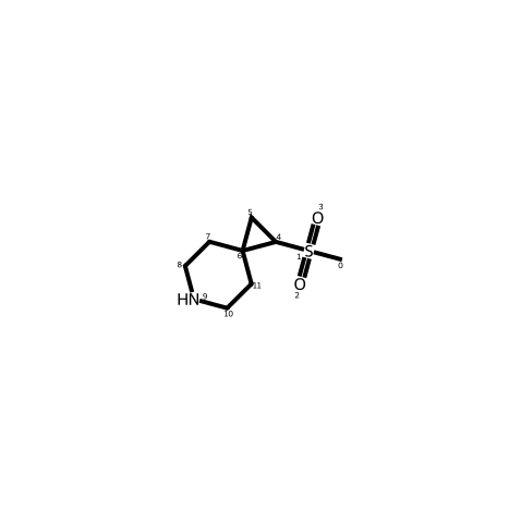 CS(=O)(=O)C1CC12CCNCC2